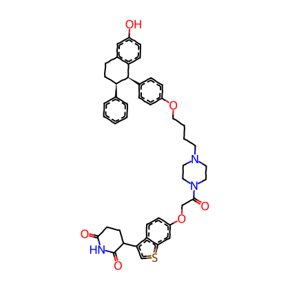 O=C1CCC(c2csc3cc(OCC(=O)N4CCN(CCCCOc5ccc([C@@H]6c7ccc(O)cc7CC[C@@H]6c6ccccc6)cc5)CC4)ccc23)C(=O)N1